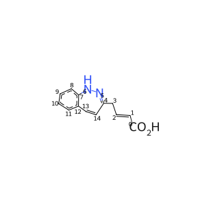 O=C(O)C=CCC1=NNc2ccccc2C=C1